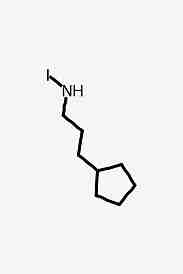 INCCCC1CCCC1